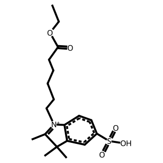 CCOC(=O)CCCCC[N+]1=C(C)C(C)(C)c2cc(S(=O)(=O)O)ccc21